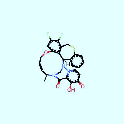 C[C@H]1/C=C\COc2cc(F)c(F)c3c2[C@@H](c2ccccc2SC3)N2CN1C(=O)c1c(O)c(=O)ccn12